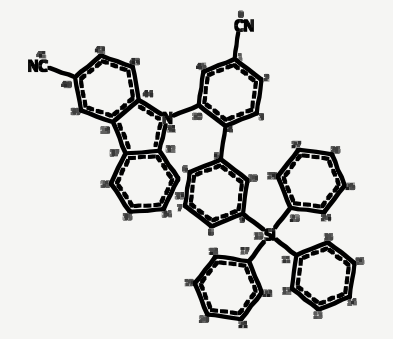 N#Cc1ccc(-c2cccc([Si](c3ccccc3)(c3ccccc3)c3ccccc3)c2)c(-n2c3ccccc3c3cc(C#N)ccc32)c1